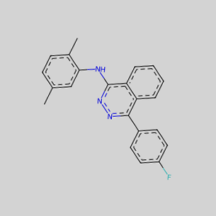 Cc1ccc(C)c(Nc2nnc(-c3ccc(F)cc3)c3ccccc23)c1